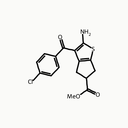 COC(=O)C1Cc2sc(N)c(C(=O)c3ccc(Cl)cc3)c2C1